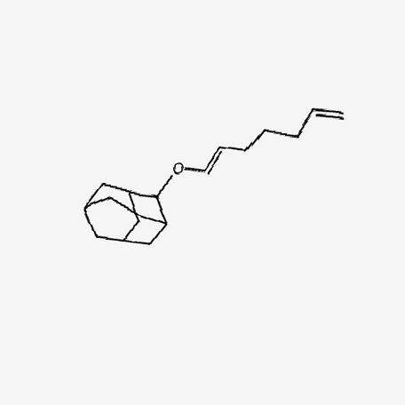 C=CCCCC=COC1C2CC3CC(C2)CC1C3